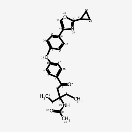 CCC(CC)(CC(=O)c1ccc(Oc2ccc(-c3coc(C4CC4)n3)cc2)cc1)NC(C)=O